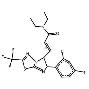 CCN(CC)C(=O)/C=C/C1C(c2ccc(Cl)cc2Cl)N=C2SC(C(F)(F)F)=NN21